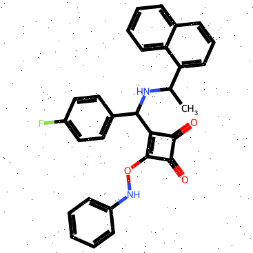 CC(NC(c1ccc(F)cc1)c1c(ONc2ccccc2)c(=O)c1=O)c1cccc2ccccc12